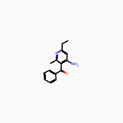 CCc1cc(N)c(C(=O)c2ccccc2)c(C)n1